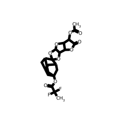 CC(=O)OC1C(=O)OC2C3OC4(OC3OC12)C1CC2CC4CC(OC(=O)C(C)(F)F)(C2)C1